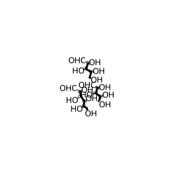 O=C[C@@H](O)[C@H](O)[C@H](O)CO.O=C[C@H](O)[C@@H](O)[C@@H](O)[C@H](O)CO.O=C[C@H](O)[C@@H](O)[C@H](O)CO